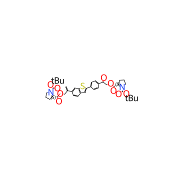 C=C(COC(=O)[C@@H]1CCCN1C(=O)OC(C)(C)C)c1ccc2cc(-c3ccc(C(=O)COC(=O)[C@@H]4CCCN4C(=O)OC(C)(C)C)cc3)sc2c1